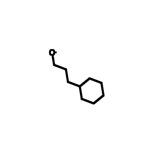 [O]CCCC1CCCCC1